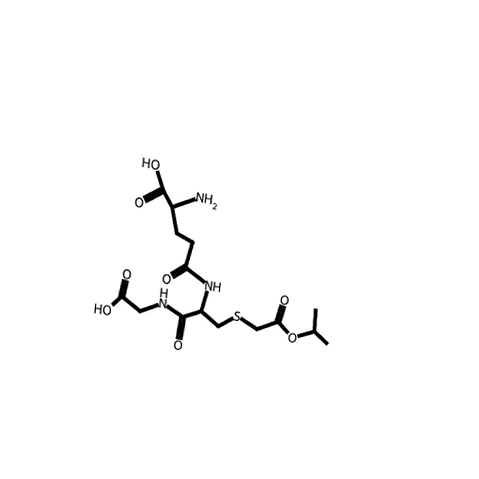 CC(C)OC(=O)CSCC(NC(=O)CCC(N)C(=O)O)C(=O)NCC(=O)O